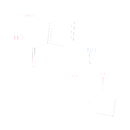 O=C(Nc1ccc(O)c(C(=O)O)c1)OC1CCCC1